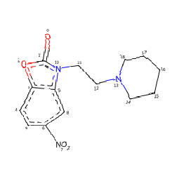 O=c1oc2ccc([N+](=O)[O-])cc2n1CCN1CCCCC1